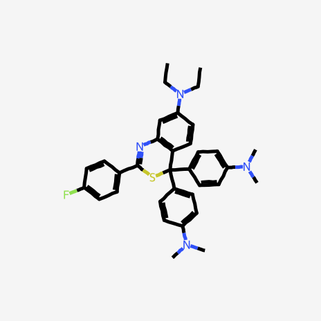 CCN(CC)c1ccc2c(c1)N=C(c1ccc(F)cc1)SC2(c1ccc(N(C)C)cc1)c1ccc(N(C)C)cc1